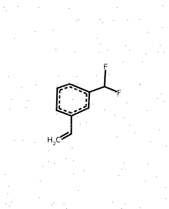 C=Cc1cccc(C(F)F)c1